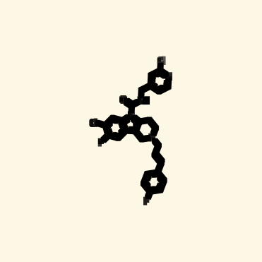 O=C(NCc1ccnc(Cl)c1)n1c2c(c3cc(F)c(Cl)cc31)CN(C/C=C/c1ccc(F)cc1)CC2